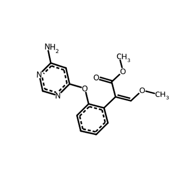 COC=C(C(=O)OC)c1ccccc1Oc1cc(N)ncn1